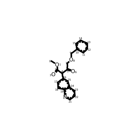 COC(=O)C(C(=O)COCc1ccccc1)c1ccc2ncccc2c1